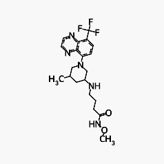 CONC(=O)CCCNC1CC(C)CN(c2ccc(C(F)(F)F)c3nccnc23)C1